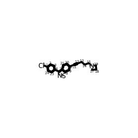 Clc1ccc(-c2nsc3cc(C#CCCCN4CCC4)ccc23)cc1